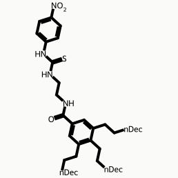 CCCCCCCCCCCCc1cc(C(=O)NCCNC(=S)Nc2ccc([N+](=O)[O-])cc2)cc(CCCCCCCCCCCC)c1CCCCCCCCCCCC